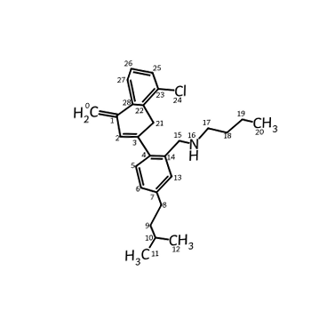 C=C1C=C(c2ccc(CCC(C)C)cc2CNCCCC)Cc2c(Cl)cccc21